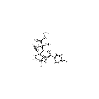 [2H]C([2H])(C(=O)OC(C)(C)C)[C@H](OC(=O)c1ccc(C)cc1)[C@@]1(C#C)COC(C)(C)O1